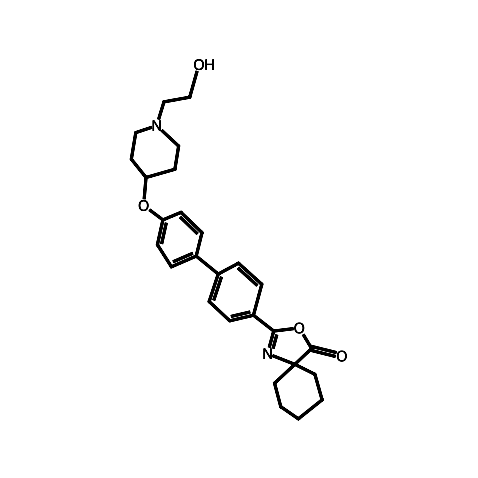 O=C1OC(c2ccc(-c3ccc(OC4CCN(CCO)CC4)cc3)cc2)=NC12CCCCC2